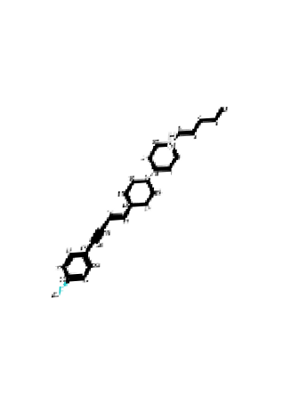 CCCCC[Si@H]1CC[C@H](C2CCC(/C=C/C#Cc3ccc(F)cc3)CC2)CC1